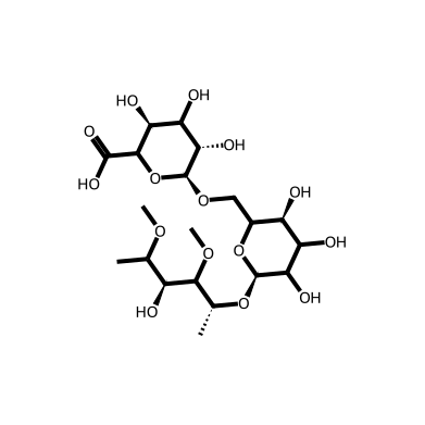 COC(C)[C@H](O)C(OC)[C@@H](C)O[C@H]1OC(CO[C@H]2OC(C(=O)O)[C@@H](O)C(O)[C@@H]2O)[C@@H](O)C(O)C1O